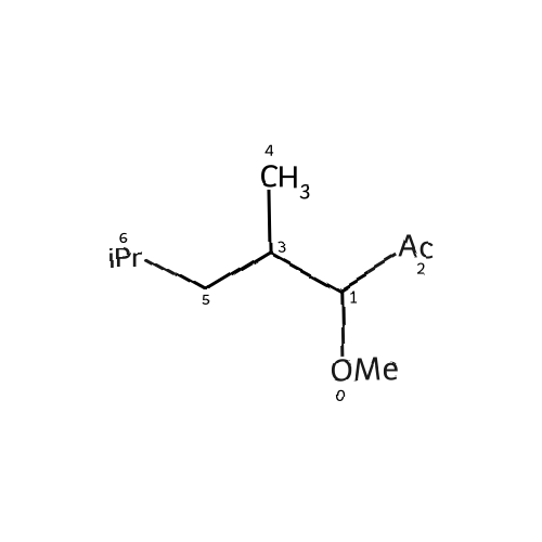 COC(C(C)=O)C(C)CC(C)C